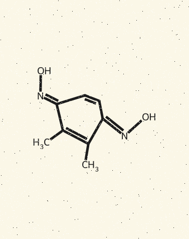 CC1=C(C)C(=NO)C=CC1=NO